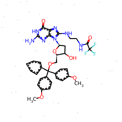 COc1ccc(C(OC[C@H]2O[C@@H](n3c(NCCNC(=O)C(F)(F)F)nc4c(=O)[nH]c(N)nc43)CC2O)(c2ccccc2)c2ccc(OC)cc2)cc1